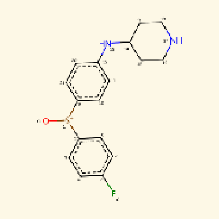 [O-][S+](c1ccc(F)cc1)c1ccc(NC2CCNCC2)cc1